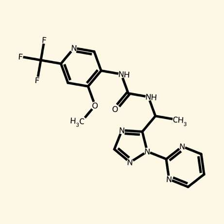 COc1cc(C(F)(F)F)ncc1NC(=O)NC(C)c1ncnn1-c1ncccn1